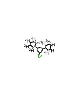 [2H]c1c([2H])c([2H])c(-c2cc(Br)cc(-c3c([2H])c([2H])c([2H])c([2H])c3[2H])c2)c([2H])c1[2H]